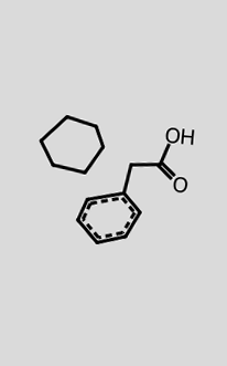 C1CCCCC1.O=C(O)Cc1ccccc1